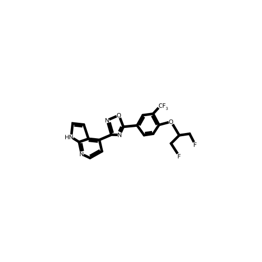 FCC(CF)Oc1ccc(-c2nc(-c3ccnc4[nH]ccc34)no2)cc1C(F)(F)F